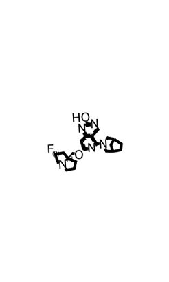 Oc1ncc2c(N3CC4CCC(C4)C3)nc(OC[C@@]34CCCN3C[C@H](F)C4)cc2n1